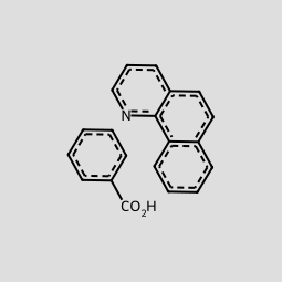 O=C(O)c1ccccc1.c1ccc2c(c1)ccc1cccnc12